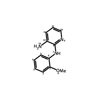 COc1ccccc1Nc1ncccc1N